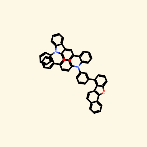 c1ccc(-c2ccc(N(c3cccc(-c4cccc5oc6c7ccccc7ccc6c45)c3)c3ccccc3-c3ccc4c(c3)c3ccccc3n4-c3ccccc3)cc2)cc1